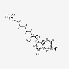 CCCCCCCC(=O)Oc1c[nH]c2cc(F)ccc12